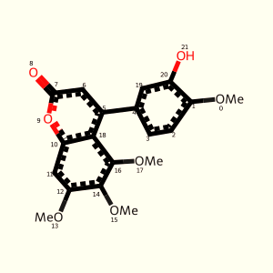 COc1ccc(-c2cc(=O)oc3cc(OC)c(OC)c(OC)c23)cc1O